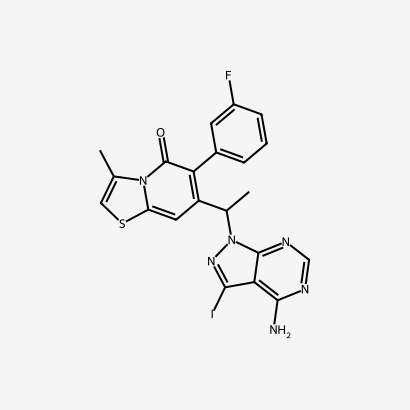 Cc1csc2cc(C(C)n3nc(I)c4c(N)ncnc43)c(-c3cccc(F)c3)c(=O)n12